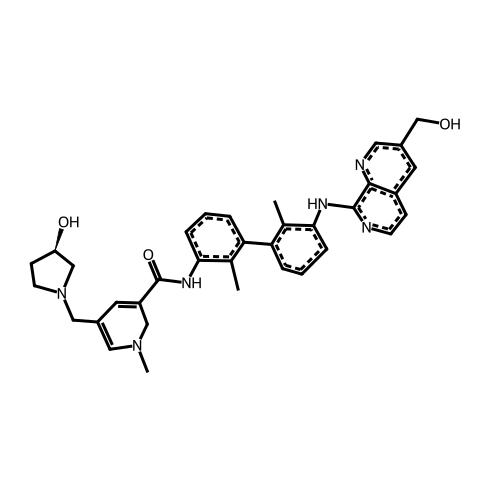 Cc1c(NC(=O)C2=CC(CN3CC[C@@H](O)C3)=CN(C)C2)cccc1-c1cccc(Nc2nccc3cc(CO)cnc23)c1C